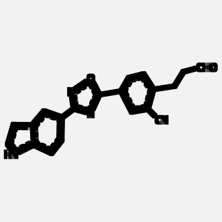 N#Cc1cc(-c2nc(-c3ccc4[nH]ccc4c3)no2)ccc1CCC=O